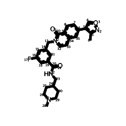 Cc1nocc1-c1ccc2c(=O)n(Cc3cc(F)cc(C(=O)NCC4CCN(C)CC4)c3)ccc2c1